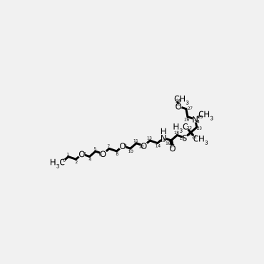 CCCOCCOCCOCCOCCNC(=O)CSC(C)(C)CN(C)CCOC